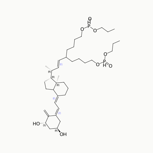 C=C1/C(=C\C=C2/CCC[C@@]3(C)C2CC[C@@H]3[C@H](C)/C=C/C(CCCCO[PH](=O)OCCC)CCCCO[PH](=O)OCCC)C[C@@H](O)C[C@@H]1O